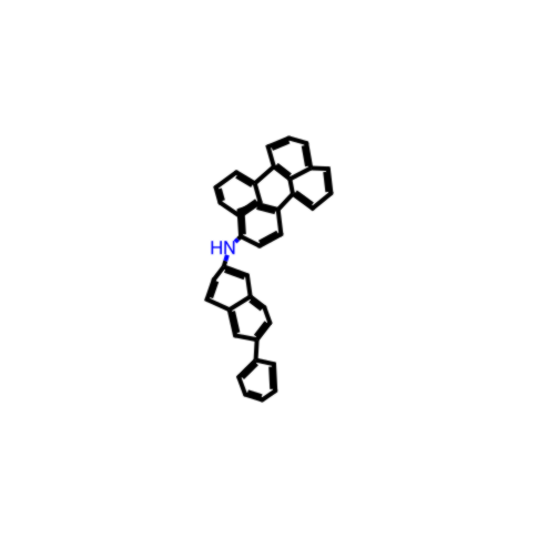 c1ccc(-c2ccc3cc(Nc4ccc(-c5cccc6cccc(-c7ccccc7)c56)cc4)ccc3c2)cc1